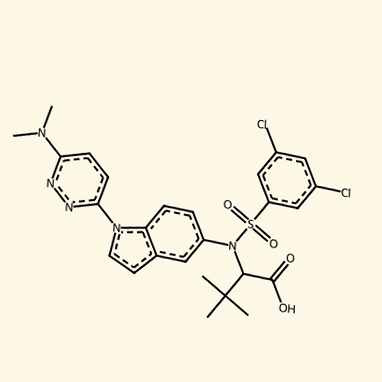 CN(C)c1ccc(-n2ccc3cc(N(C(C(=O)O)C(C)(C)C)S(=O)(=O)c4cc(Cl)cc(Cl)c4)ccc32)nn1